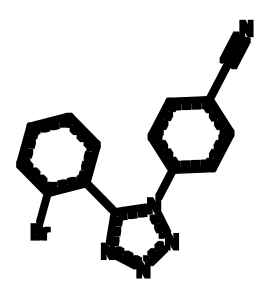 N#Cc1ccc(-n2nnnc2-c2ccccc2Br)cc1